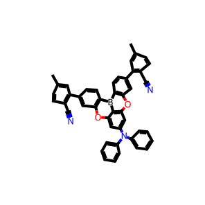 Cc1ccc(C#N)c(-c2ccc3c(c2)Oc2cc(N(c4ccccc4)c4ccccc4)cc4c2B3c2ccc(-c3cc(C)ccc3C#N)cc2O4)c1